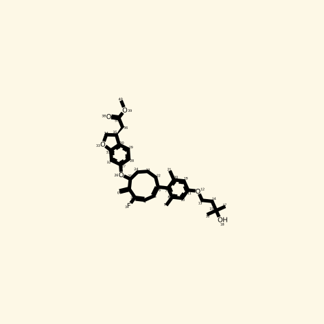 C=C1/C(F)=C\C=C(\c2c(C)cc(OCCC(C)(C)O)cc2C)CCCC1Oc1ccc2c(c1)OC[C@H]2CC(=O)OC